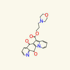 O=C1c2cccnc2C(=O)c2c1c(C(=O)OCCCN1CCOCC1)c1ccccn21